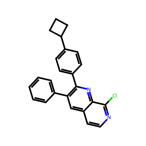 Clc1nccc2cc(-c3ccccc3)c(-c3ccc(C4CCC4)cc3)nc12